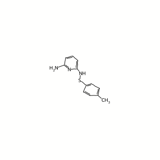 Cc1ccc(SNc2cccc(N)n2)cc1